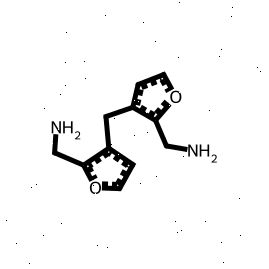 NCc1occc1Cc1ccoc1CN